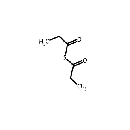 CCC(=O)SC(=O)CC